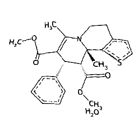 COC(=O)C1=C(C)N2CCc3ccsc3[C@]2(C)[C@H](C(=O)OC)[C@@H]1c1ccccc1.O